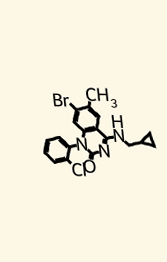 Cc1cc2c(NCC3CC3)nc(=O)n(-c3ccccc3Cl)c2cc1Br